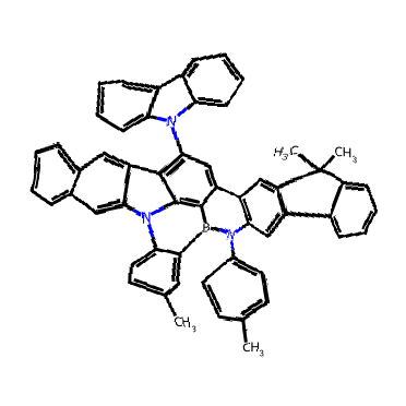 Cc1ccc(N2B3c4cc(C)ccc4-n4c5cc6ccccc6cc5c5c(-n6c7ccccc7c7ccccc76)cc(c3c54)-c3cc4c(cc32)-c2ccccc2C4(C)C)cc1